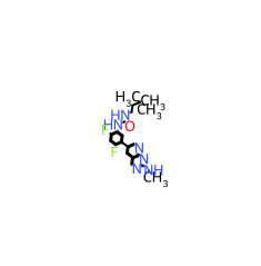 CNc1ncc2cc(-c3cc(NC(=O)NCCC(C)(C)C)c(F)cc3F)cnc2n1